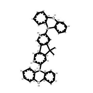 CC1(C)c2cc(N3c4ccccc4Oc4ccccc43)ncc2-c2cnc(N3c4ccccc4Oc4ccccc43)cc21